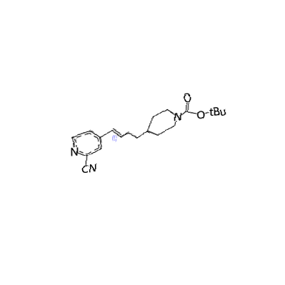 CC(C)(C)OC(=O)N1CCC(CC/C=C/c2ccnc(C#N)c2)CC1